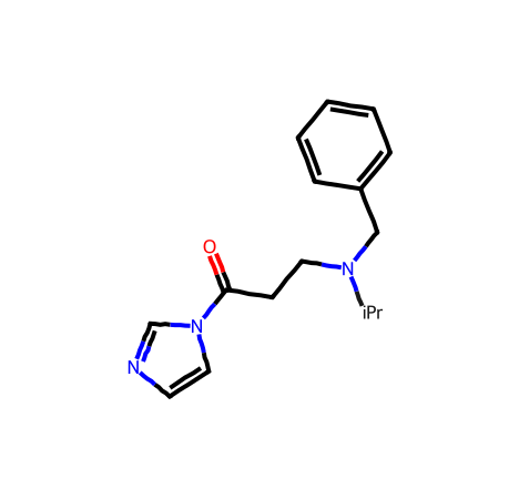 CC(C)N(CCC(=O)n1ccnc1)Cc1ccccc1